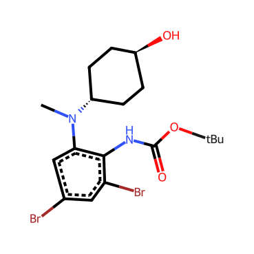 CN(c1cc(Br)cc(Br)c1NC(=O)OC(C)(C)C)[C@H]1CC[C@H](O)CC1